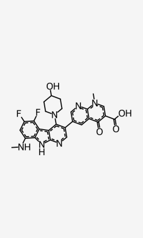 CNc1cc(F)c(F)c2c1[nH]c1ncc(-c3cnc4c(c3)c(=O)c(C(=O)O)cn4C)c(N3CCC(O)CC3)c12